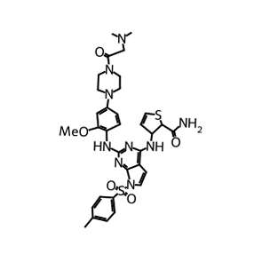 COc1cc(N2CCN(C(=O)CN(C)C)CC2)ccc1Nc1nc(NC2C=CSC2C(N)=O)c2ccn(S(=O)(=O)c3ccc(C)cc3)c2n1